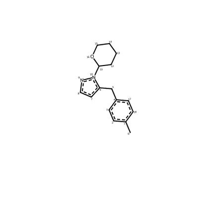 Cc1ccc(Cc2ccnn2C2CCCCO2)cc1